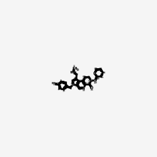 CNCc1cn(Cc2ccc(F)cc2)c2cnc3c(c12)CCN(OC1CCCCO1)C3=O